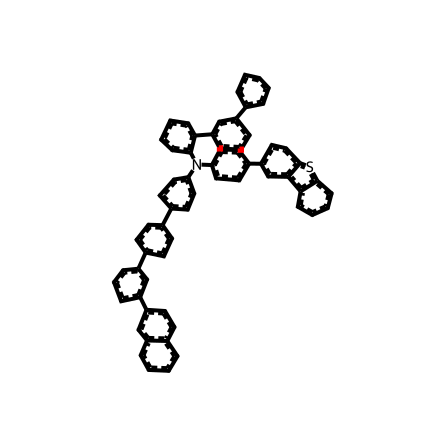 c1ccc(-c2cccc(-c3ccccc3N(c3ccc(-c4ccc(-c5cccc(-c6ccc7ccccc7c6)c5)cc4)cc3)c3ccc(-c4ccc5sc6ccccc6c5c4)cc3)c2)cc1